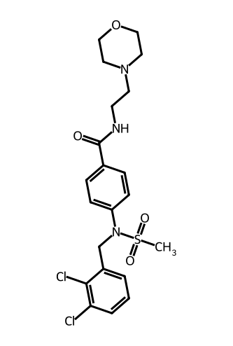 CS(=O)(=O)N(Cc1cccc(Cl)c1Cl)c1ccc(C(=O)NCCN2CCOCC2)cc1